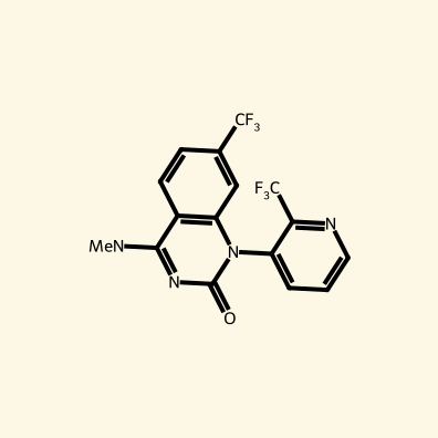 CNc1nc(=O)n(-c2cccnc2C(F)(F)F)c2cc(C(F)(F)F)ccc12